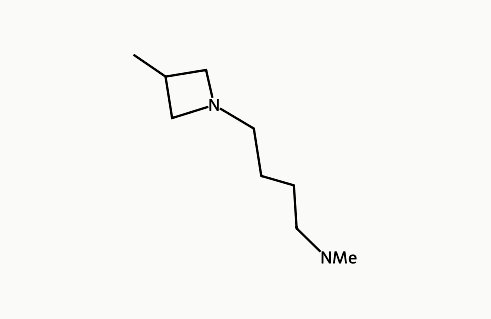 CNCCCCN1CC(C)C1